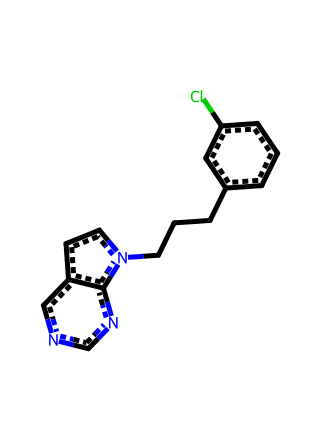 Clc1cccc(CCCn2ccc3cncnc32)c1